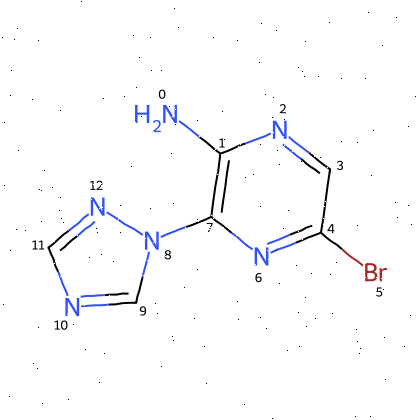 Nc1ncc(Br)nc1-n1cncn1